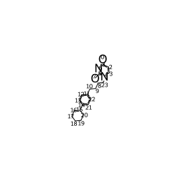 O=c1ccn2c(n1)OC(CCc1ccc(C3CCCCC3)cc1)C2